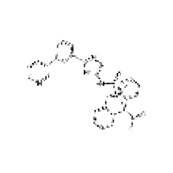 CC1(C(=O)Nc2nc(-c3cccc(-c4cccnc4)c3)n[nH]2)CC2([N+](=O)[O-])c3ccccc3C1c1ccccc12